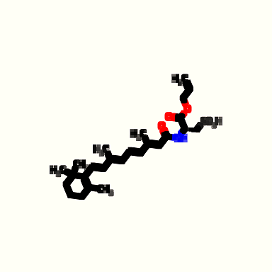 C=CCOC(=O)[C@H](CS(=O)(=O)O)NC(=O)/C=C(C)/C=C/C=C(C)/C=C/C1=C(C)CCCC1(C)C